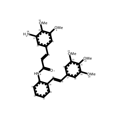 COc1cc(/C=C/C(=O)Nc2ccccc2/C=C/c2cc(OC)c(OC)c(OC)c2)cc(N)c1OC